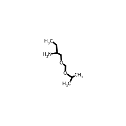 CCC(N)COCOC(C)C